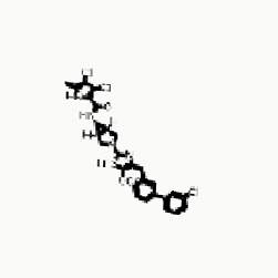 Cc1[nH]c(C(=O)N[C@@H]2[C@@H]3CN(c4nc(Cc5cccc(-c6cccc(Cl)c6)c5)c(C(=O)[O-])s4)C[C@@H]32)c(Cl)c1Cl.[Li+]